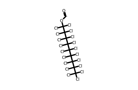 O=[C]OC(Cl)(Cl)C(Cl)(Cl)C(Cl)(Cl)C(Cl)(Cl)C(Cl)(Cl)C(Cl)(Cl)C(Cl)(Cl)C(Cl)(Cl)C(Cl)(Cl)Cl